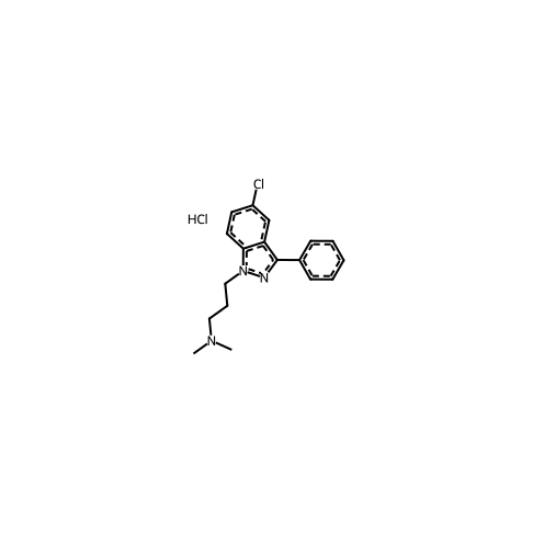 CN(C)CCCn1nc(-c2ccccc2)c2cc(Cl)ccc21.Cl